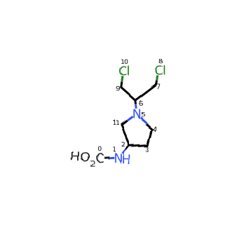 O=C(O)NC1CCN(C(CCl)CCl)C1